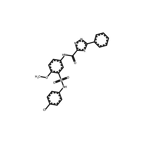 COc1ccc(NC(=O)c2nnc(-c3ccccc3)s2)cc1S(=O)(=O)Nc1ccc(Cl)cc1